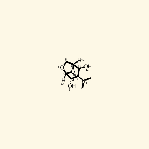 CN(C)[C@H]1[C@H](O)[C@@H]2OC[C@@H](O2)[C@H]1O